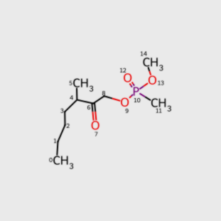 CCCCC(C)C(=O)COP(C)(=O)OC